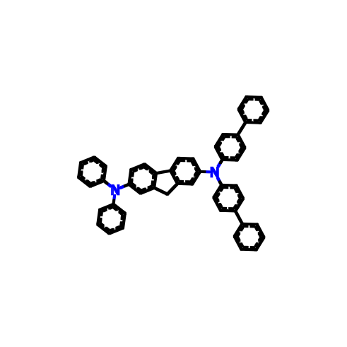 c1ccc(-c2ccc(N(c3ccc(-c4ccccc4)cc3)c3ccc4c(c3)Cc3cc(N(c5ccccc5)c5ccccc5)ccc3-4)cc2)cc1